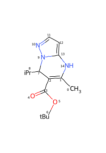 CC1=C(C(=O)OC(C)(C)C)C(C(C)C)n2nccc2N1